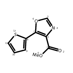 COC(=O)c1ncoc1-c1cccs1